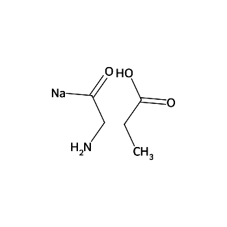 CCC(=O)O.NC[C](=O)[Na]